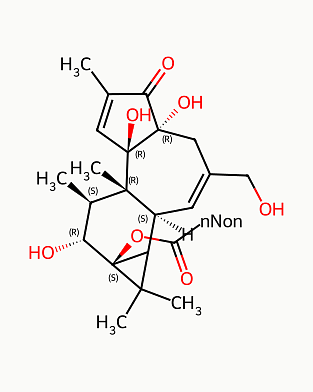 CCCCCCCCCC(=O)O[C@]12C([C@@H]3C=C(CO)C[C@]4(O)C(=O)C(C)=C[C@@]4(O)[C@@]3(C)[C@H](C)[C@H]1O)C2(C)C